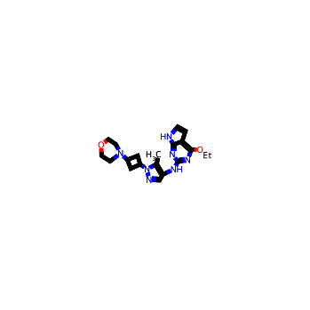 CCOc1nc(Nc2cnn(C3CC(N4CCOCC4)C3)c2C)nc2[nH]ccc12